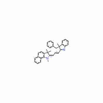 CN1/C(=C/C=C/C2=Nc3ccccc3C2(C)Cc2ccccc2)C(C)(C)c2ccc3ccccc3c21